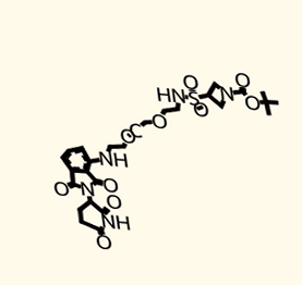 CC(C)(C)OC(=O)N1CC(S(=O)(=O)NCCOCCOCCNc2cccc3c2C(=O)N(C2CCC(=O)NC2=O)C3=O)C1